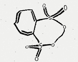 O=S1(=O)OCOS(=O)(=O)c2ccccc21